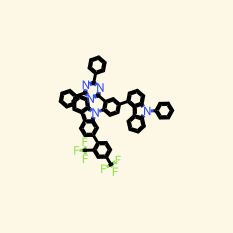 FC(F)(F)c1ccc(-c2ccc3c4ccccc4n(-c4ccc(-c5cccc6c5c5ccccc5n6-c5ccccc5)cc4-c4nc(-c5ccccc5)nc(-c5ccccc5)n4)c3c2)c(C(F)(F)F)c1